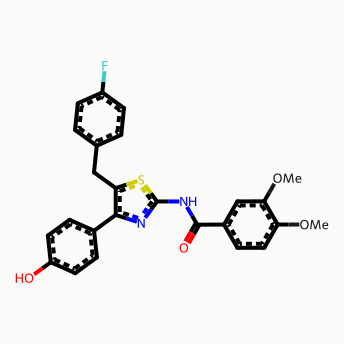 COc1ccc(C(=O)Nc2nc(-c3ccc(O)cc3)c(Cc3ccc(F)cc3)s2)cc1OC